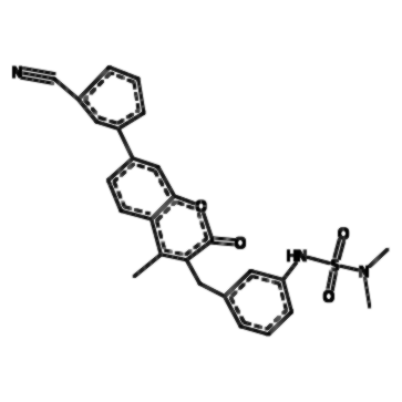 Cc1c(Cc2cccc(NS(=O)(=O)N(C)C)c2)c(=O)oc2cc(-c3cccc(C#N)c3)ccc12